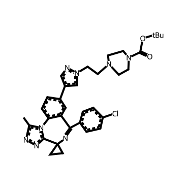 Cc1nnc2n1-c1ccc(-c3cnn(CCN4CCN(C(=O)OC(C)(C)C)CC4)c3)cc1C(c1ccc(Cl)cc1)=NC21CC1